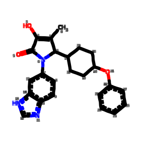 CC1=C(O)C(=O)N(c2ccc3nc[nH]c3c2)C1C1CCC(Oc2ccccc2)CC1